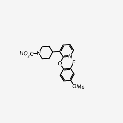 COc1ccc(Oc2ncccc2C2CCN(C(=O)O)CC2)c(F)c1